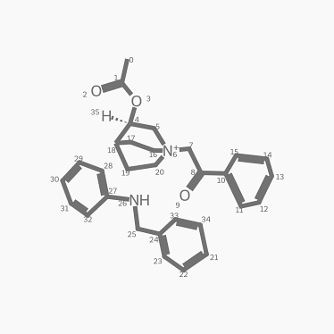 CC(=O)O[C@H]1C[N+]2(CC(=O)c3ccccc3)CCC1CC2.c1ccc(CNc2ccccc2)cc1